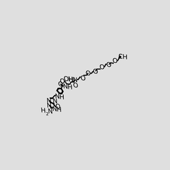 C#CCOCCOCCOCCOCCOCCOCCNC(=O)CCC(NC(=O)c1ccc(NCc2cnc3nc(N)[nH]c(=O)c3n2)cc1)C(=O)O